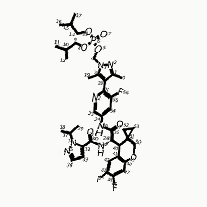 Cc1nn(COP(=O)(OCC(C)C)OCC(C)C)c(C)c1-c1ncc(NC(=O)[C@@H](NC(=O)c2ccnn2C(C)C)C2c3cc(F)c(F)cc3OCC23CC3)cc1F